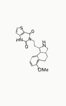 COc1cccc2c1CCC1CNC(CCn3c(=O)[nH]c4ccsc4c3=O)C21